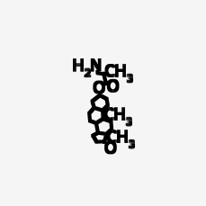 CC(CN)C(=O)OC1CCC2(C)C(CCC3C4CCC(=O)C4(C)CCC32)C1